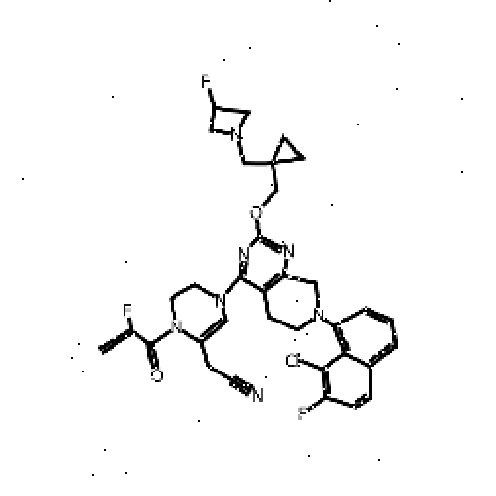 C=C(F)C(=O)N1CCN(c2nc(OCC3(CN4CC(F)C4)CC3)nc3c2CCN(c2cccc4ccc(F)c(Cl)c24)C3)C=C1CC#N